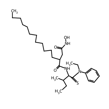 CCCCCCCCCCCCC(CC(=O)NO)C(=O)NC(C(=S)N(CC)c1ccccc1)C(C)CC